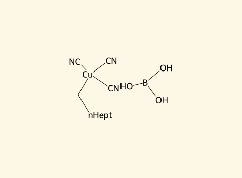 CCCCCCC[CH2][Cu]([C]#N)([C]#N)[C]#N.OB(O)O